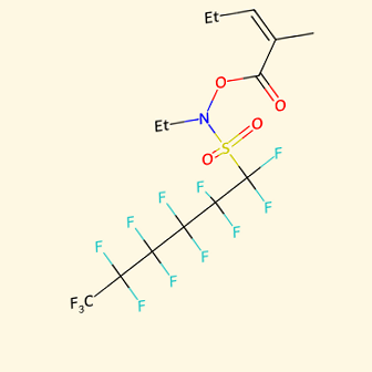 CCC=C(C)C(=O)ON(CC)S(=O)(=O)C(F)(F)C(F)(F)C(F)(F)C(F)(F)C(F)(F)C(F)(F)F